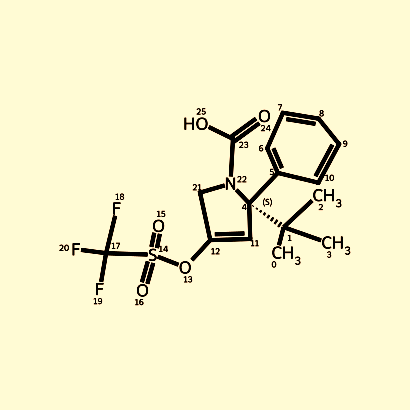 CC(C)(C)[C@]1(c2ccccc2)C=C(OS(=O)(=O)C(F)(F)F)CN1C(=O)O